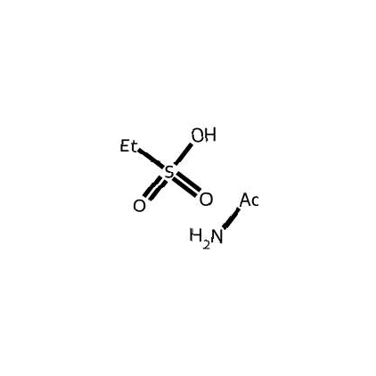 CC(N)=O.CCS(=O)(=O)O